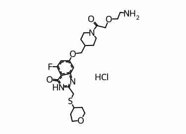 Cl.NCCOCC(=O)N1CCC(COc2cc(F)c3c(=O)[nH]c(CSC4CCOCC4)nc3c2)CC1